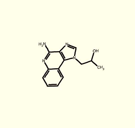 CC(O)Cn1cnc2c(N)nc3ccccc3c21